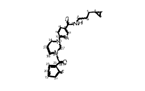 O=C(NCCCC1CC1)c1ccc(N2CCCN(C(=O)c3ccccc3F)C2)nc1